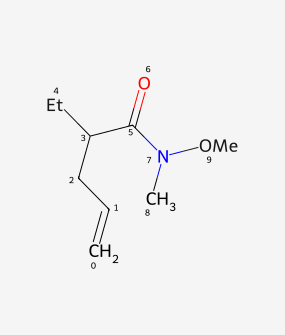 C=CCC(CC)C(=O)N(C)OC